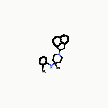 Cc1ccccc1NC1(C#N)CCN(C2Cc3cccc4cccc2c34)CC1